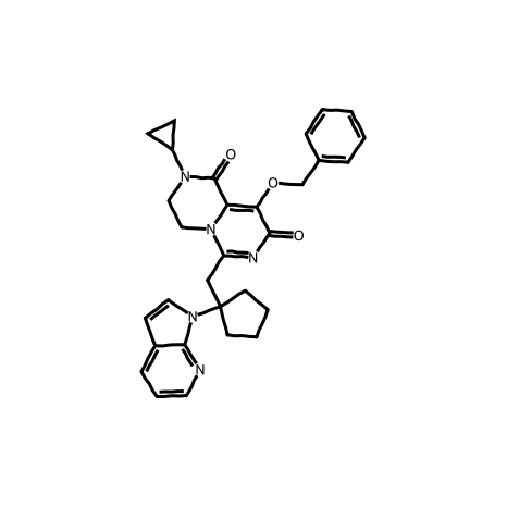 O=C1c2c(OCc3ccccc3)c(=O)nc(CC3(n4ccc5cccnc54)CCCC3)n2CCN1C1CC1